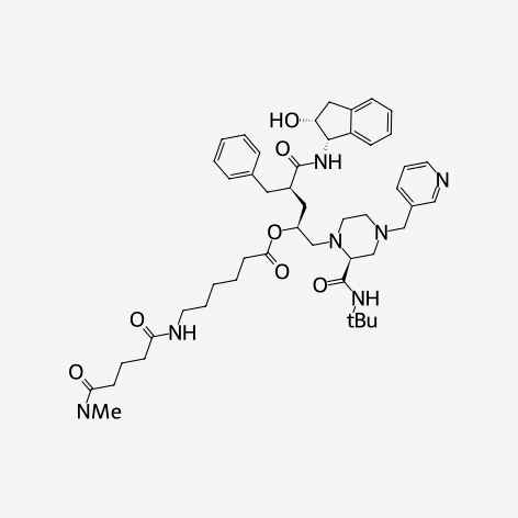 CNC(=O)CCCC(=O)NCCCCCC(=O)O[C@@H](C[C@@H](Cc1ccccc1)C(=O)N[C@H]1c2ccccc2C[C@H]1O)CN1CCN(Cc2cccnc2)C[C@H]1C(=O)NC(C)(C)C